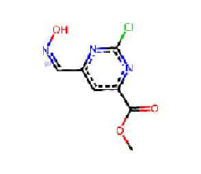 COC(=O)c1cc(/C=N\O)nc(Cl)n1